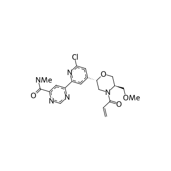 C=CC(=O)N1C[C@H](c2cc(Cl)nc(-c3cc(C(=O)NC)ncn3)c2)OC[C@H]1COC